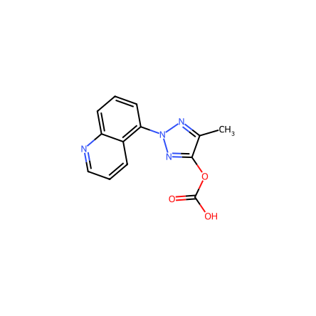 Cc1nn(-c2cccc3ncccc23)nc1OC(=O)O